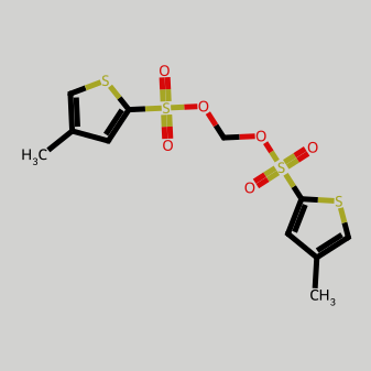 Cc1csc(S(=O)(=O)OCOS(=O)(=O)c2cc(C)cs2)c1